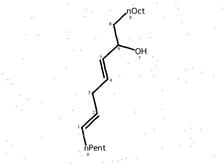 CCCCCC=CCC=CC(O)CCCCCCCCC